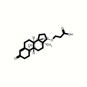 C[C@]12CC[C@H]3[C@@H](CCC4=CC(=O)CC[C@@]43C)[C@@H]1CC[C@@H]2OCCC(=O)O